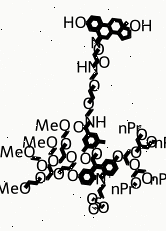 CCCOCC(COCCC)OCC(COC(COCCC)COCCC)Oc1ccc2c(c1)c(C(=O)Oc1c(C)cc(C(=O)NCCOCCOCCNC(=O)CON=C3CC4C(CCC5(C)C(O)CCC45)c4ccc(O)cc43)cc1C)c1cc(OC(COC(COCCOC)COCCOC)COC(COCCOC)COCCOC)ccc1[n+]2CCCS(=O)(=O)[O-]